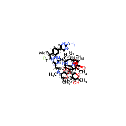 C=N/C(=C\N(N)[C@H](CF)[C@H](OC)c1ccc(-c2cnc(N)nc2)cc1)CCN(C)[C@H]1C[C@@H](C)O[C@@H](O[C@@H]2[C@@H]3C([C@H]4C[C@@](C)(OC)[C@@H](O)[C@H](C)O4)[C@@H](C)C(=O)O[C@H](CC)[C@@]4(C)OC(=O)N5C3CNC(C)([C@H](C)C[C@@]2(C)OC)[C@@H](C)[C@@H]54)[C@@H]1O